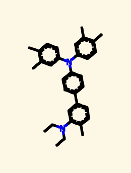 CCN(CC)c1cc(-c2ccc(N(c3ccc(C)c(C)c3)c3ccc(C)c(C)c3)cc2)ccc1C